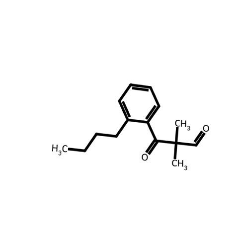 CCCCc1ccccc1C(=O)C(C)(C)C=O